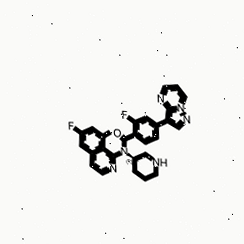 Cc1cc(F)cc2ccnc(N(C(=O)c3ccc(-c4cnn5cccnc45)cc3F)[C@@H]3CCCNC3)c12